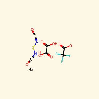 O=C(O)C(=O)O.O=C([O-])C(F)(F)F.O=C=NSN=C=O.[Na+]